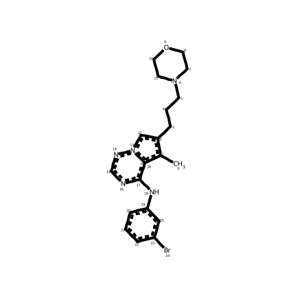 Cc1c(CCCN2CCOCC2)cn2ncnc(Nc3cccc(Br)c3)c12